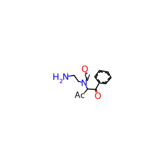 CC(=O)C(C(=O)c1ccccc1)[N](CCN)[V]=[O]